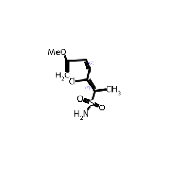 C=C(/C=C\C(Cl)=C(/C)S(N)(=O)=O)OC